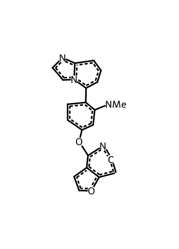 CNc1cc(Oc2nccc3occc23)ccc1-c1cccc2nccn12